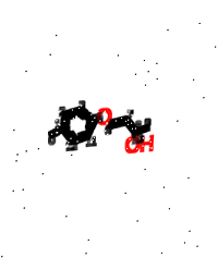 Cc1ccc(OC=CC(C)O)cc1